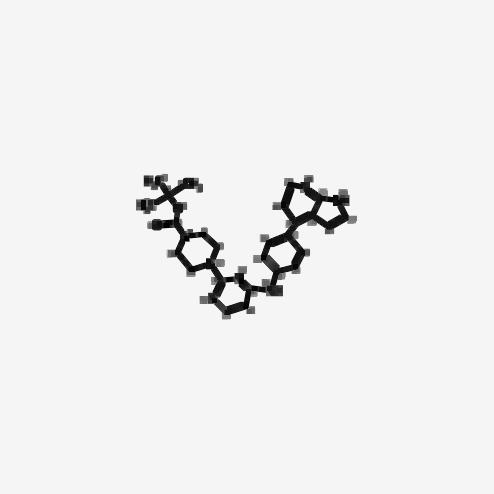 CC(C)(C)OC(=O)N1CCN(c2nccc(Nc3ccc(-c4ccnc5[nH]ccc45)cc3)n2)CC1